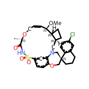 CO[C@@H]1C=CCO[C@@H](C)C(=O)NS(=O)(=O)c2ccc3c(c2)N(C[C@@H]2CC[C@H]21)C[C@@]1(CCCc2cc(Cl)ccc21)CO3